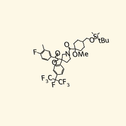 COC1(C(=O)N2CCC(c3ccc(C(F)(C(F)(F)F)C(F)(F)F)cc3)(S(=O)(=O)c3ccc(F)c(C)c3)C2)CCC(CO[Si](C)(C)C(C)(C)C)CC1